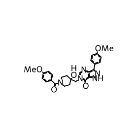 COc1ccc(C(=O)N2CCC(O)(Cn3cnc4c(-c5ccc(OC)cc5)n[nH]c4c3=O)CC2)cc1